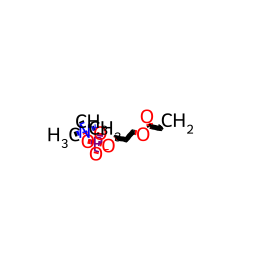 C=CC(=O)OCCCOP(=O)([O-])O[N+](C)(C)C